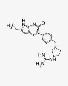 CCc1cc2cn(-c3ccc(CN4CC[C@@H](NC(=N)N)C4)cc3)c(=O)nc2[nH]1